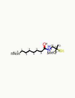 CCCCCCCCCCCCCCCC(=O)NCC(C)(S)OC